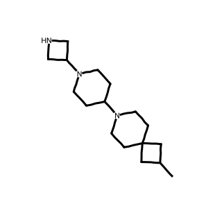 CC1CC2(CCN(C3CCN(C4CNC4)CC3)CC2)C1